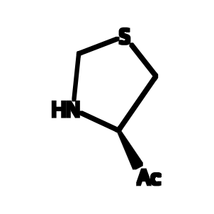 CC(=O)[C@@H]1CSCN1